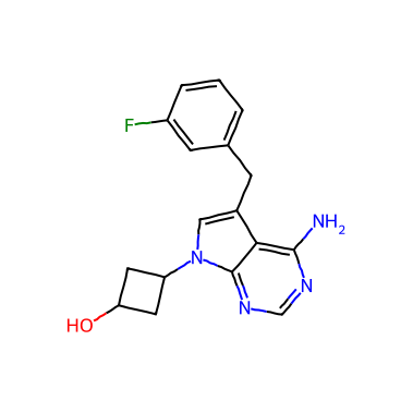 Nc1ncnc2c1c(Cc1cccc(F)c1)cn2C1CC(O)C1